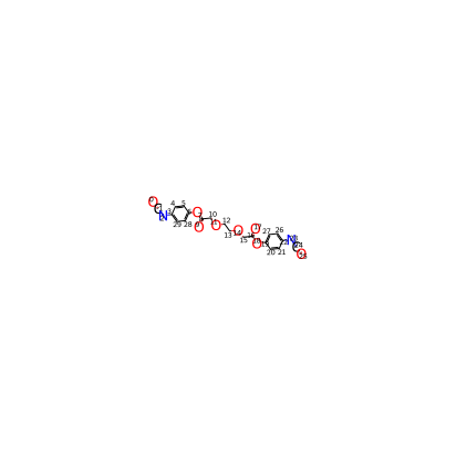 O=C=Nc1ccc(OC(=O)COCCOCC(=O)Oc2ccc(N=C=O)cc2)cc1